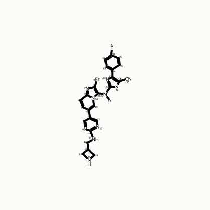 CCc1nc2ccc(-c3cnc(NCC4CNC4)nc3)cn2c1N(C)c1nc(-c2ccc(F)cc2)c(C#N)s1